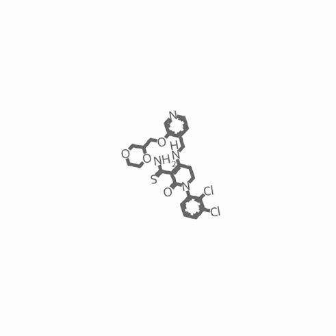 NC(=S)C1=C(NCc2ccncc2OCC2COCCO2)CCN(c2cccc(Cl)c2Cl)C1=O